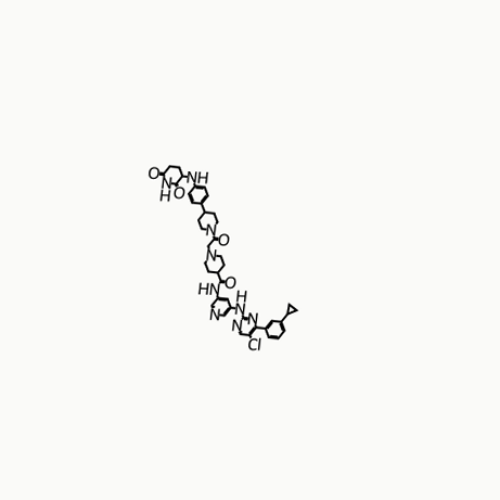 O=C1CCC(Nc2ccc(C3CCN(C(=O)CN4CCC(C(=O)Nc5cncc(Nc6ncc(Cl)c(-c7cccc(C8CC8)c7)n6)c5)CC4)CC3)cc2)C(=O)N1